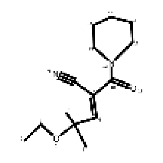 CCOC(C)(C)/C=C(\C#N)C(=O)N1CCCCC1